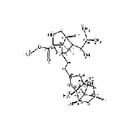 COC(=O)[C@]12CCN(C(O)[C@H](C)N)[C@@H](CN1)[C@H]2CCCB1O[C@@H]2C[C@@H]3C[C@@H](C3(C)C)[C@]2(C)O1